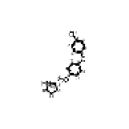 Clc1ccc(Oc2ccc(OC[C@@H]3CCCN3)cc2)cc1